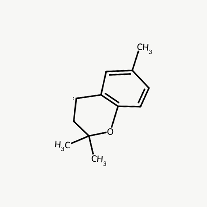 Cc1ccc2c(c1)[C]CC(C)(C)O2